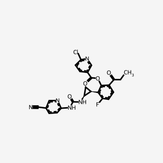 CCC(=O)c1ccc(F)c([C@@H]2C[C@@H]2NC(=O)Nc2ccc(C#N)cn2)c1OC(=O)c1ccc(Cl)nc1